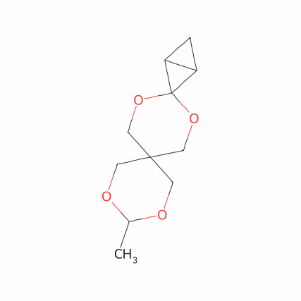 CC1OCC2(CO1)COC1(OC2)C2CC21